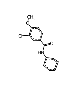 COc1ccc(C(=O)Nc2ccccc2)cc1Cl